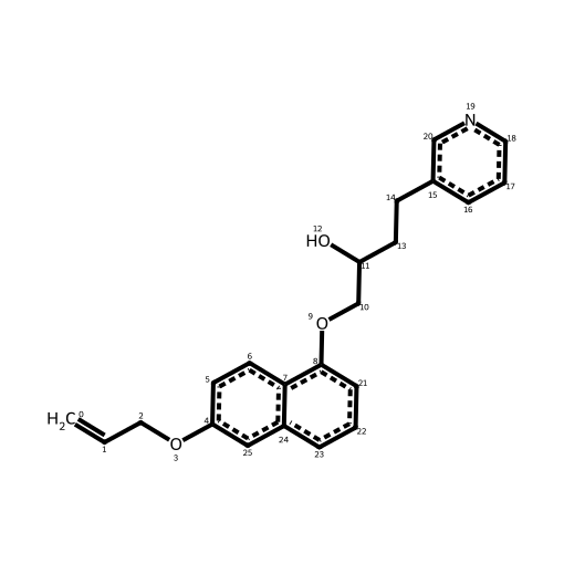 C=CCOc1ccc2c(OCC(O)CCc3cccnc3)cccc2c1